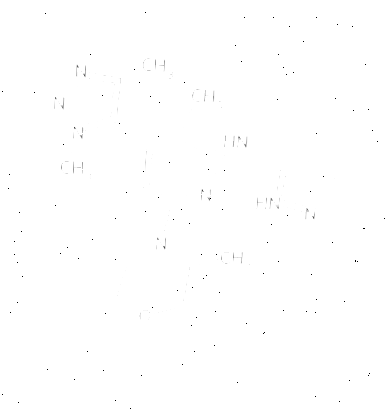 Cc1nnn(C)c1-c1cc(N2CCOCC2C)nc(Nc2ccn[nH]2)c1C